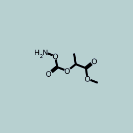 COC(=O)C(C)OC(=O)ON